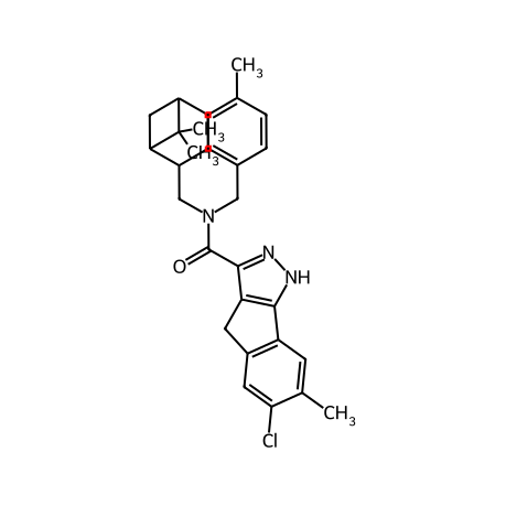 Cc1ccc(CN(CC2CCC3CC2C3(C)C)C(=O)c2n[nH]c3c2Cc2cc(Cl)c(C)cc2-3)cc1